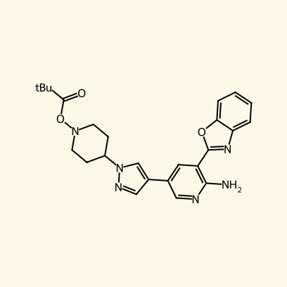 CC(C)(C)C(=O)ON1CCC(n2cc(-c3cnc(N)c(-c4nc5ccccc5o4)c3)cn2)CC1